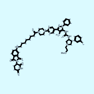 COCCN1C[C@@H](NC(=O)Nc2c(C)c(-c3cnc(N4CCN(C(=O)CCCCCCCNc5ccc6c(c5)C(=O)N(C5CCC(=O)NC5=O)C6=O)CC4)nc3)nn2-c2ccccc2)[C@H](c2cccc(F)c2)C1